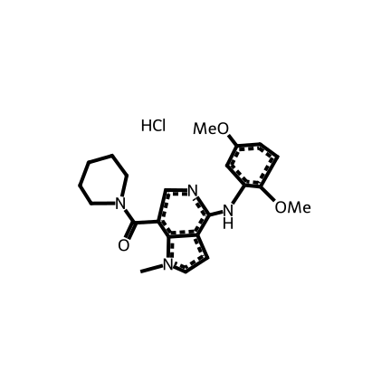 COc1ccc(OC)c(Nc2ncc(C(=O)N3CCCCC3)c3c2ccn3C)c1.Cl